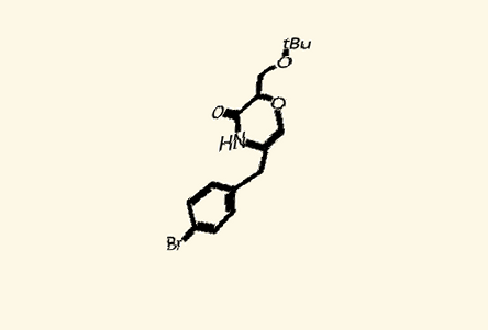 CC(C)(C)OCC1OCC(Cc2ccc(Br)cc2)NC1=O